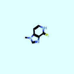 Cn1cnc2c(=S)[nH]ccc21